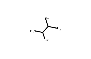 CC(C)C(N)C(N)C(C)C